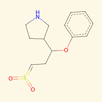 O=S(=O)=CCC(Oc1ccccc1)C1CCNC1